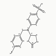 CS(=O)(=O)c1ccc(N(Cc2ccc(F)cc2)C2CCNC2)cc1